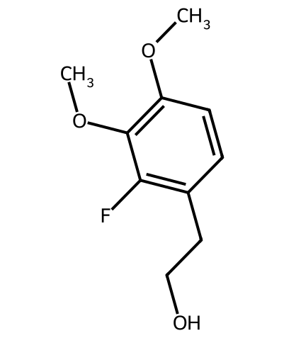 COc1ccc(CCO)c(F)c1OC